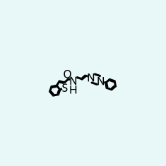 O=C(NCC=CN1CCN(c2ccccc2)CC1)c1cc2ccccc2s1